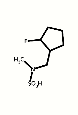 CN(CC1CCCC1F)S(=O)(=O)O